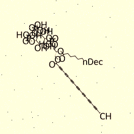 C#CC#CC#CC#CC#CC#CC#CC#CC(=O)OC[C@H](COP(=O)(O)OC1C(O)[C@H](O)[C@H](OP(=O)(O)O)C(OP(=O)(O)O)[C@@H]1O)OC(=O)CCCCCCCCCCCCCCC